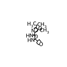 COc1cc(C(=N)OC(=N)C2CCOCC2)ncc1C(C)C